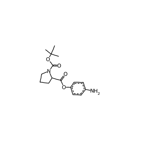 CC(C)(C)OC(=O)N1CCCC1C(=O)Oc1ccc(N)cc1